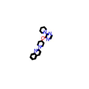 c1ccc2nc(N3CCC(Oc4nccnc4N4CCCCC4)CC3)ccc2c1